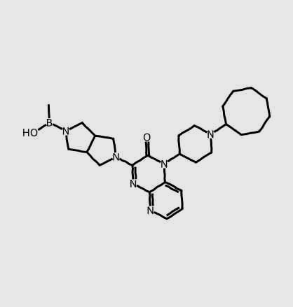 CB(O)N1CC2CN(c3nc4ncccc4n(C4CCN(C5CCCCCCC5)CC4)c3=O)CC2C1